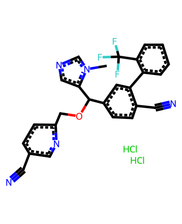 Cl.Cl.Cn1cncc1C(OCc1ccc(C#N)cn1)c1ccc(C#N)c(-c2ccccc2C(F)(F)F)c1